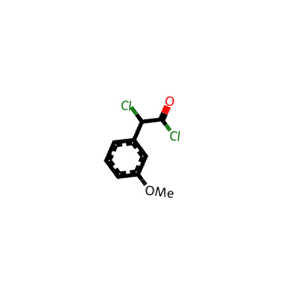 COc1cccc(C(Cl)C(=O)Cl)c1